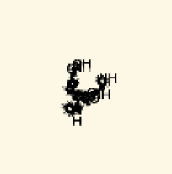 O=C(/C=C/c1ccc2c(c1)CCC2N(CCc1c[nH]c2ccccc12)Cc1cccc(S(=O)(=O)NCCN2CCNCC2)c1)NO